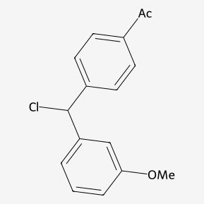 COc1cccc(C(Cl)c2ccc(C(C)=O)cc2)c1